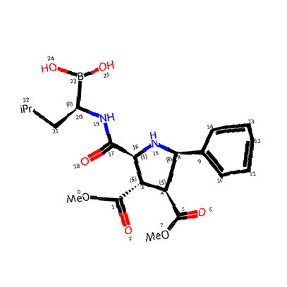 COC(=O)[C@H]1[C@H](C(=O)OC)[C@H](c2ccccc2)N[C@@H]1C(=O)N[C@@H](CC(C)C)B(O)O